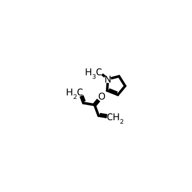 C=CC(=O)C=C.CN1C=CCC1